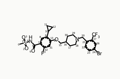 CS(=O)(=O)NC(=O)c1cc(C2CC2)c(OCC2CCN(Cc3ccc(Br)cc3C(F)(F)F)CC2)cc1F